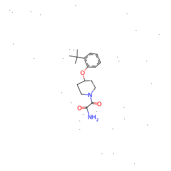 CC(C)(C)c1ccccc1OC1CCN(C(=O)C(N)=O)CC1